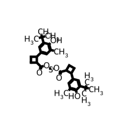 Cc1cc(C2CCC2C(=O)OSOC(=O)C2CCC2c2cc(C)c(O)c(C(C)(C)C)c2)cc(C(C)(C)C)c1O